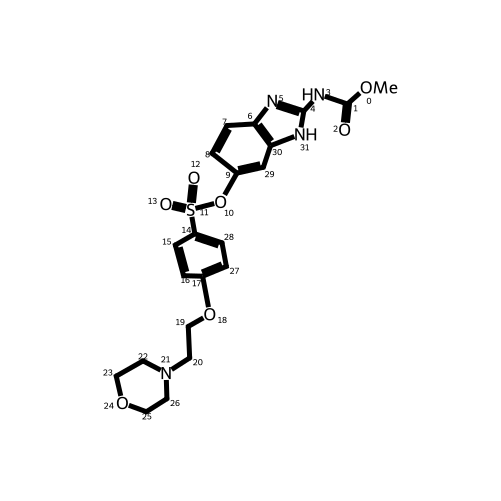 COC(=O)Nc1nc2ccc(OS(=O)(=O)c3ccc(OCCN4CCOCC4)cc3)cc2[nH]1